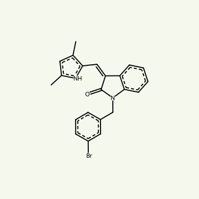 Cc1cc(C)c(/C=C2\C(=O)N(Cc3cccc(Br)c3)c3ccccc32)[nH]1